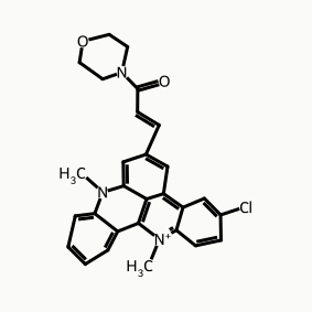 CN1c2ccccc2-c2c3c1cc(/C=C/C(=O)N1CCOCC1)cc3c1cc(Cl)ccc1[n+]2C